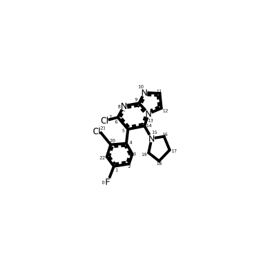 Fc1ccc(-c2c(Cl)nc3nccn3c2N2[CH]CCC2)c(Cl)c1